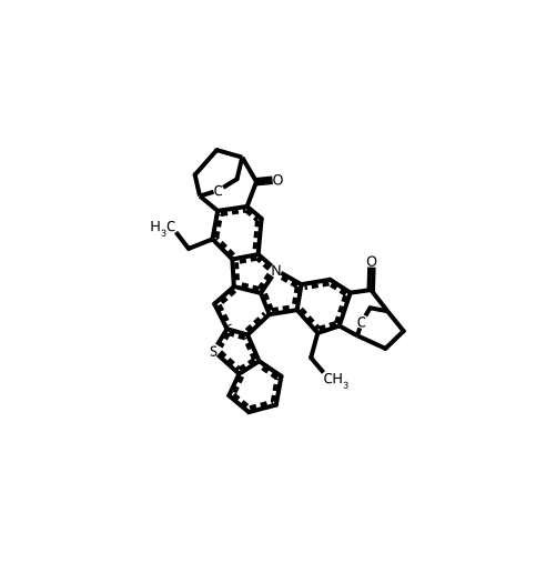 CCc1c2c(cc3c1c1cc4sc5ccccc5c4c4c5c(CC)c6c(cc5n3c14)C(=O)C1CCC6CC1)C(=O)C1CCC2CC1